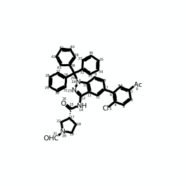 CC(=O)c1ccc(Cl)c(-c2ccc3c(c2)c(NC(=O)[C@@H]2CCN(C=O)C2)nn3C(c2ccccc2)(c2ccccc2)c2ccccc2)c1